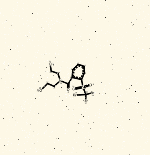 O=C(c1ccccc1S(=O)(=O)C(Br)(Br)Br)N(CCO)CCO